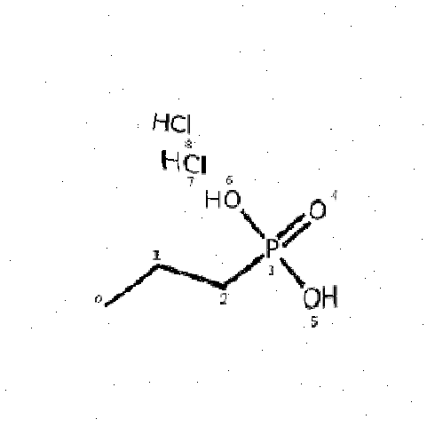 CCCP(=O)(O)O.Cl.Cl